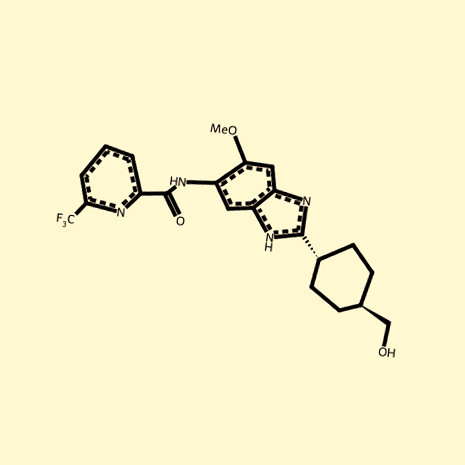 COc1cc2nc([C@H]3CC[C@H](CO)CC3)[nH]c2cc1NC(=O)c1cccc(C(F)(F)F)n1